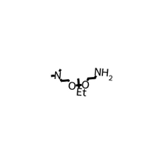 CCC(C)(OCCN)OCCN(C)C